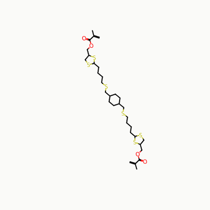 C=C(C)C(=O)OCC1CSC(CCCCSCC2CCC(CSCCCCC3SCC(COC(=O)C(=C)C)S3)CC2)S1